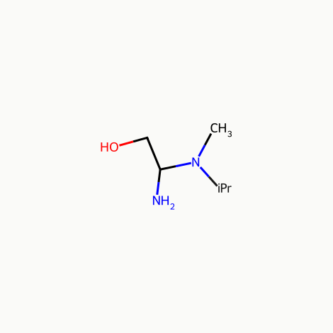 CC(C)N(C)C(N)CO